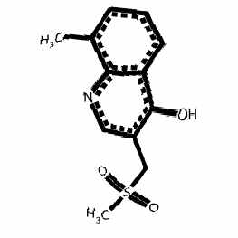 Cc1cccc2c(O)c(CS(C)(=O)=O)cnc12